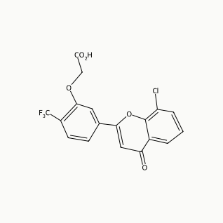 O=C(O)COc1cc(-c2cc(=O)c3cccc(Cl)c3o2)ccc1C(F)(F)F